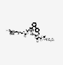 CCCCc1nc(Cl)c(C(=O)OC(C)OC(=O)OCC)n1Cc1ccc(-c2ccccc2-c2nnn(C(C)OC(=O)OCCSCCON(O)O)n2)cc1